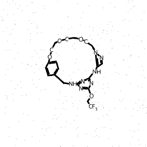 FC(F)(F)COc1nc2nc(n1)Nc1cnn(c1)CCOCCOCCOc1ccc(cc1)CN2